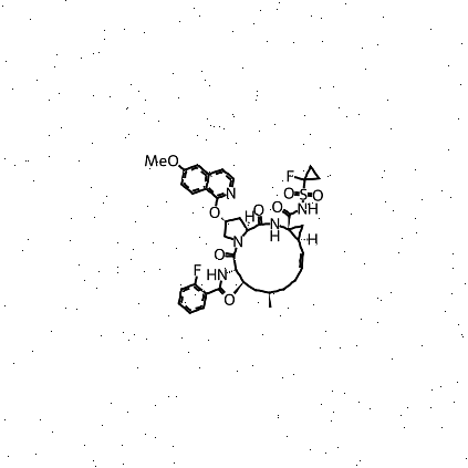 COc1ccc2c(O[C@@H]3C[C@H]4C(=O)N[C@]5(C(=O)NS(=O)(=O)C6(F)CC6)C[C@H]5C=CCC[C@@H](C)C[C@@H](C)[C@H](NC(=O)c5ccccc5F)C(=O)N4C3)nccc2c1